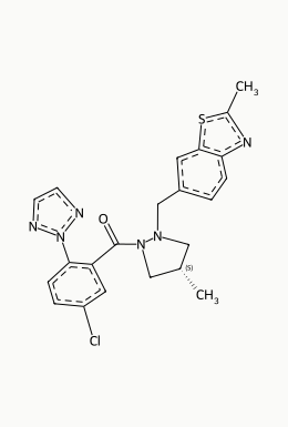 Cc1nc2ccc(CN3C[C@H](C)CN3C(=O)c3cc(Cl)ccc3-n3nccn3)cc2s1